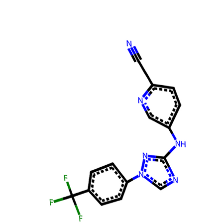 N#Cc1ccc(Nc2ncn(-c3ccc(C(F)(F)F)cc3)n2)cn1